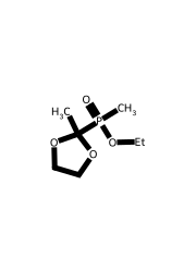 CCOP(C)(=O)C1(C)OCCO1